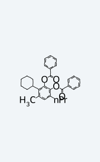 CCCc1cc(C)c(C2CCCCC2)c(OC(=O)c2ccccc2)c1OC(=O)c1ccccc1